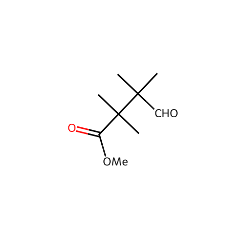 COC(=O)C(C)(C)C(C)(C)C=O